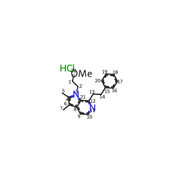 COCCn1c(C)c(C)c2ccnc(CCc3ccccc3)c21.Cl